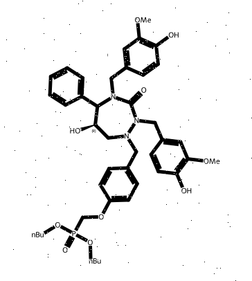 CCCCOP(=O)(COc1ccc(CN2C[C@@H](O)C(c3ccccc3)N(Cc3ccc(O)c(OC)c3)C(=O)N2Cc2ccc(O)c(OC)c2)cc1)OCCCC